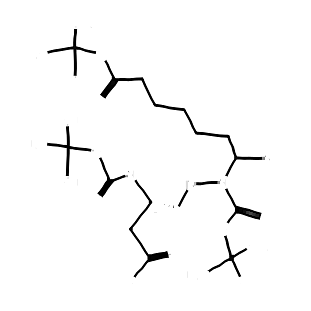 CC(C)(C)OC(=O)CCCCCC(N)N(NC[C@H](CC(=O)O)NC(=O)OC(C)(C)C)C(=O)OC(C)(C)C